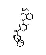 CNC(=O)c1ccccc1Nc1nc(Nc2ccc3c(c2)C2CCC3CN(C(C)C)C2)ncc1Cl